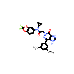 COc1cc(C)cc(-c2nn(CC(=O)N(c3ccc4c(c3)OC(F)(F)O4)C3CC3)c(=O)c3nc[nH]c23)c1